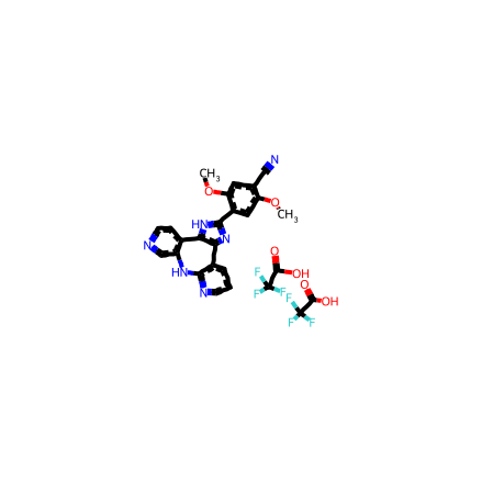 COc1cc(-c2nc3c([nH]2)-c2ccncc2Nc2ncccc2-3)c(OC)cc1C#N.O=C(O)C(F)(F)F.O=C(O)C(F)(F)F